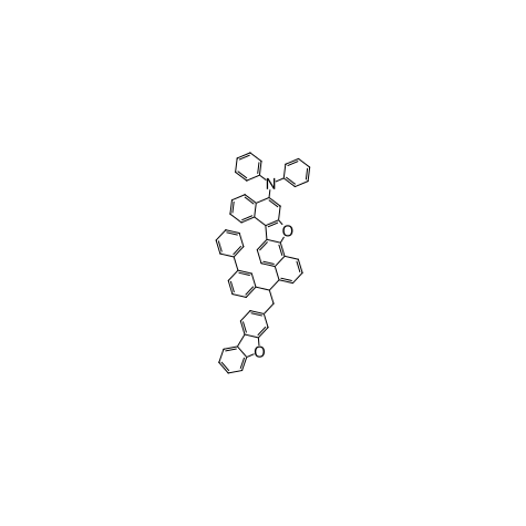 c1ccc(-c2cccc(C(Cc3ccc4c(c3)oc3ccccc34)c3cccc4c3ccc3c4oc4cc(N(c5ccccc5)c5ccccc5)c5ccccc5c43)c2)cc1